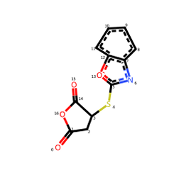 O=C1CC(Sc2nc3ccccc3o2)C(=O)O1